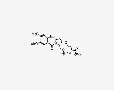 COC(=O)CCCO[C@H]1CCN(C(=O)c2cc(OC)c(OC)cc2N)[C@@H]1CO[Si](C)(C)C(C)(C)C